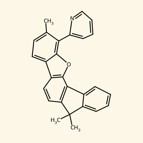 Cc1ccc2c(oc3c4c(ccc32)C(C)(C)c2ccccc2-4)c1-c1ccccn1